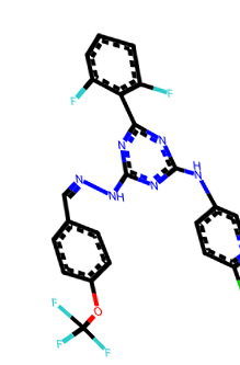 Fc1cccc(F)c1-c1nc(N/N=C\c2ccc(OC(F)(F)F)cc2)nc(Nc2ccc(Cl)nc2)n1